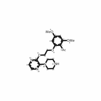 COc1cc(OC)c(C(C)=O)c(OCCOc2nccnc2N2CCNCC2)c1